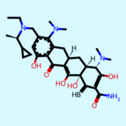 B=C1C(C(N)=O)=C(O)[C@@H](N(C)C)[C@@H]2C[C@@H]3Cc4c(c(O)cc(CN(CC)[C@H](C)C5CC5)c4N(C)C)C(=O)C3=C(O)[C@]12O